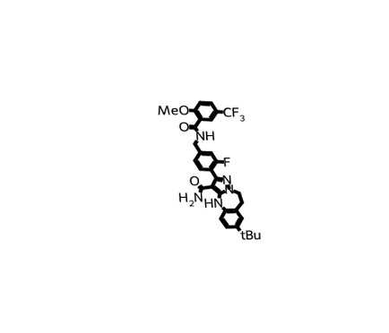 COc1ccc(C(F)(F)F)cc1C(=O)NCc1ccc(-c2nn3c(c2C(N)=O)Nc2ccc(C(C)(C)C)cc2CC3)c(F)c1